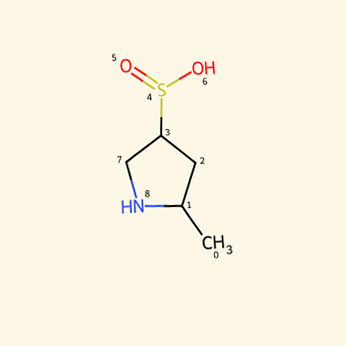 CC1CC(S(=O)O)CN1